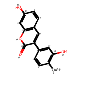 COc1ccc(-c2cc3ccc(O)cc3oc2=O)cc1O